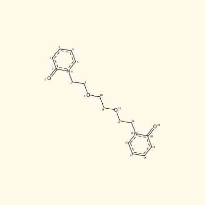 O=c1ccccn1CCOCCOCCn1ccccc1=O